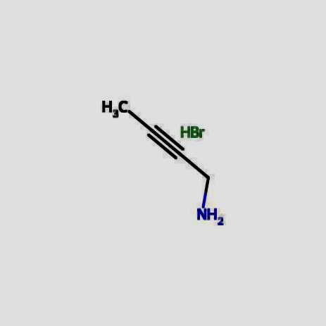 Br.CC#CCN